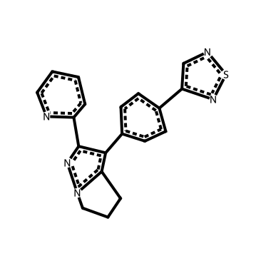 c1ccc(-c2nn3c(c2-c2ccc(-c4cnsn4)cc2)CCC3)nc1